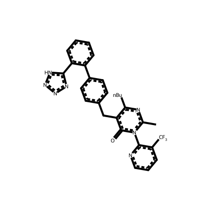 CCCCc1nc(C)n(-c2ncccc2C(F)(F)F)c(=O)c1Cc1ccc(-c2ccccc2-c2nnn[nH]2)cc1